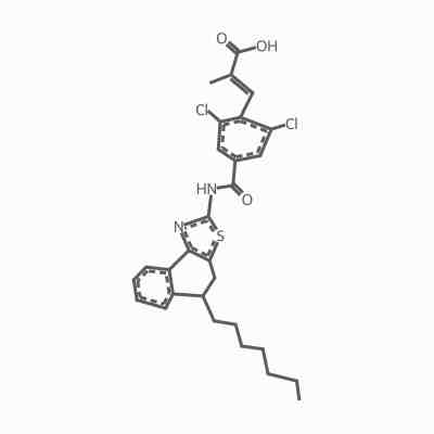 CCCCCCCC1Cc2sc(NC(=O)c3cc(Cl)c(/C=C(\C)C(=O)O)c(Cl)c3)nc2-c2ccccc21